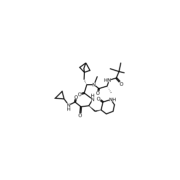 C[C@@H](NC(=O)C(C)(C)C)C(=O)N(C)[C@@H](CC12CC(C1)C2)C(=O)N[C@@H](C[C@@H]1CCCNC1=O)C(=O)C(=O)NC1CC1